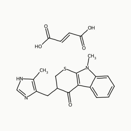 Cc1[nH]cnc1CC1CSc2c(c3ccccc3n2C)C1=O.O=C(O)C=CC(=O)O